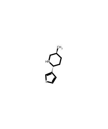 C[C@H]1CC[C@H](c2ccsc2)NC1